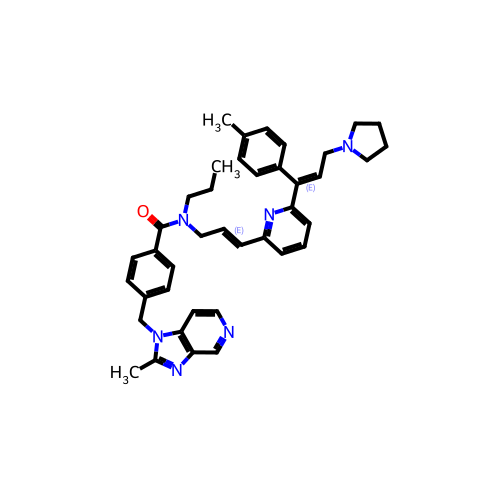 CCCN(C/C=C/c1cccc(/C(=C/CN2CCCC2)c2ccc(C)cc2)n1)C(=O)c1ccc(Cn2c(C)nc3cnccc32)cc1